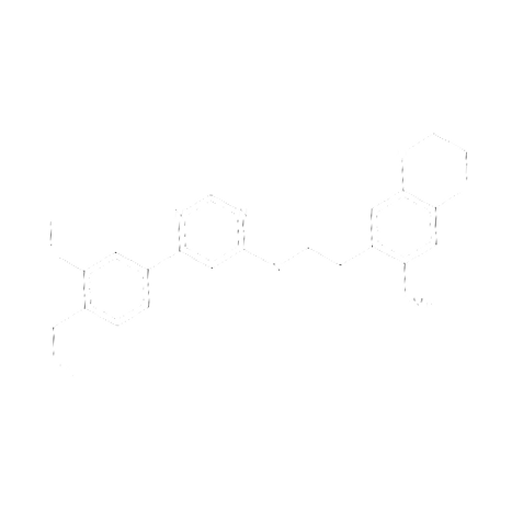 CCOc1cc(-c2cc(NCCc3cc4c(cc3OC)OCCO4)ncn2)ccc1CC(=O)O